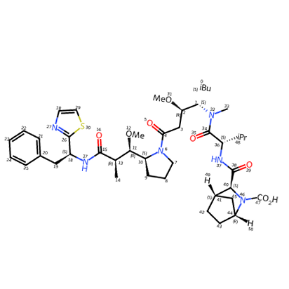 CC[C@H](C)[C@@H]([C@@H](CC(=O)N1CCC[C@H]1[C@H](OC)[C@@H](C)C(=O)N[C@@H](Cc1ccccc1)c1nccs1)OC)N(C)C(=O)[C@@H](NC(=O)[C@@H]1[C@H]2CC[C@H](C2)N1C(=O)O)C(C)C